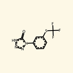 O=c1[nH]nnn1-c1cccc(SC(F)(F)F)c1